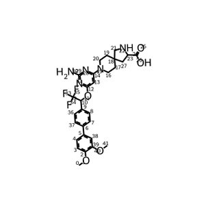 COc1ccc(-c2ccc(C(Oc3cc(N4CCC5(CC4)CNC(C(=O)O)C5)nc(N)n3)C(F)(F)F)cc2)cc1OC